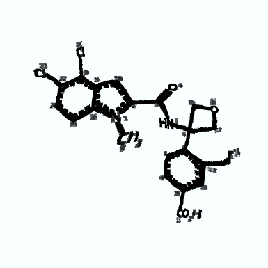 Cn1c(C(=O)NC2(c3ccc(C(=O)O)cc3F)COC2)cc2c(Cl)c(Cl)ccc21